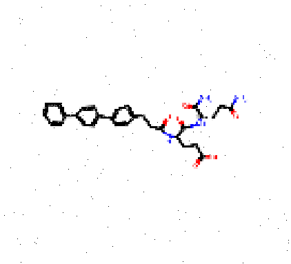 NC(=O)CC[C@H](NC(=O)C(CCC(=O)O)NC(=O)CCc1ccc(-c2ccc(-c3ccccc3)cc2)cc1)C(N)=O